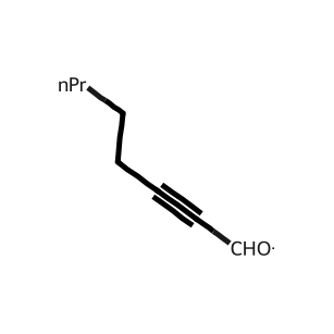 CCCCCC#C[C]=O